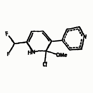 COC1(Cl)NC(C(F)F)=CC=C1c1ccncc1